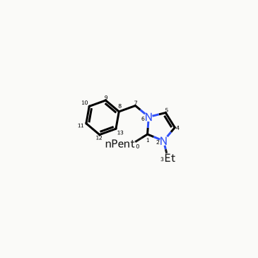 CCCCCC1N(CC)C=CN1Cc1ccccc1